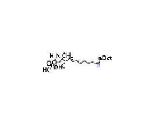 CCCCCCCC/C=C\CCCCCCCC(=O)C(C)(N)COP(=O)(O)O